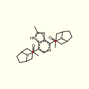 CC(=O)N1C2CCC1CC(c1ncc(C3CC4CCC(C3)N4C(C)=O)c3[nH]c(C)nc13)C2